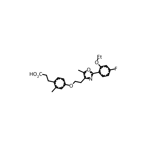 CCOc1cc(F)ccc1-c1nc(CCOc2ccc(CCC(=O)O)c(C)c2)c(C)o1